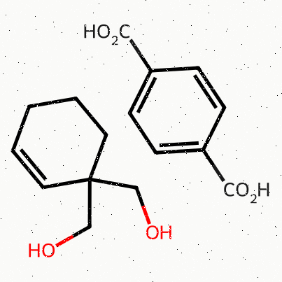 O=C(O)c1ccc(C(=O)O)cc1.OCC1(CO)C=CCCC1